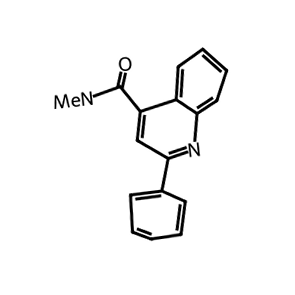 CNC(=O)c1cc(-c2ccccc2)nc2ccccc12